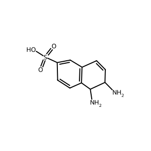 NC1C=Cc2cc(S(=O)(=O)O)ccc2C1N